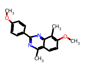 COc1ccc(-c2nc(C)c3ccc(OC)c(C)c3n2)cc1